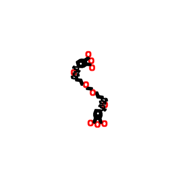 C[Si](C)(CCCOCCOCCC[Si](C)(C)O[Si](C)(C)C1CC2CC1C1C(=O)OC(=O)C21)O[Si](C)(C)C1CC2CC1C1C(=O)OC(=O)C21